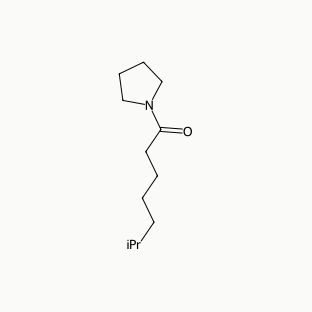 CC(C)CCCCC(=O)N1CCCC1